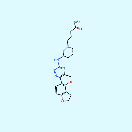 COC(=O)CCCN1CCC[C@@H](Nc2nnc(-c3ccc4c(c3O)CCO4)c(C)n2)C1